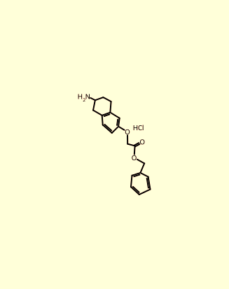 Cl.NC1CCc2cc(OCC(=O)OCc3ccccc3)ccc2C1